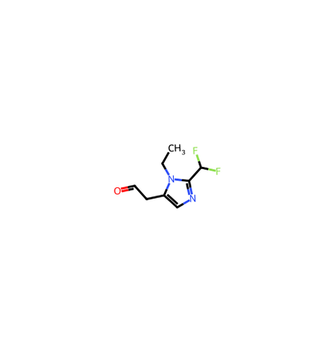 CCn1c(CC=O)cnc1C(F)F